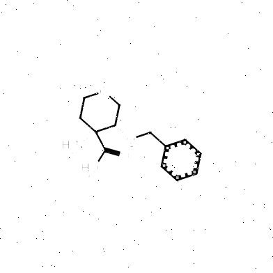 N[C@]1(C(=O)O)CCOC[C@@H]1OCc1ccccc1